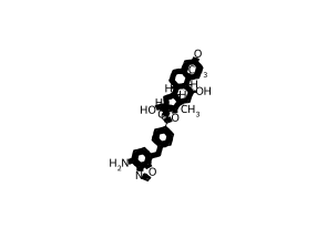 C[C@]12C=CC(=O)C=C1CC[C@@H]1[C@@H]2[C@@H](O)C[C@@]2(C)[C@H]1C[C@H]1O[C@@H](c3ccc(Cc4ccc(N)c5ncoc45)cc3)O[C@]12C(=O)CO